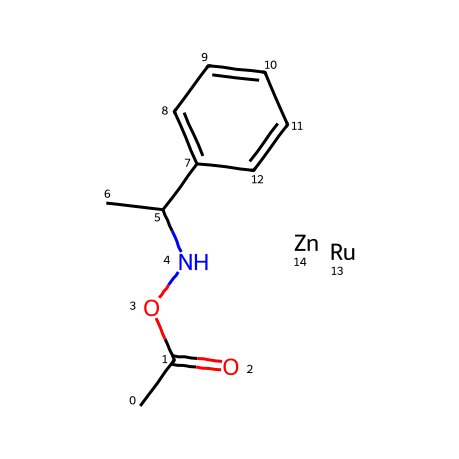 CC(=O)ONC(C)c1ccccc1.[Ru].[Zn]